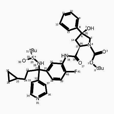 CC(C)(C)OC(=O)N1C[C@@](O)(c2ccccc2)C[C@@H]1C(=O)Nc1cc(C(CCC2CC2)(N[S@+]([O-])C(C)(C)C)c2ccncc2)ccc1F